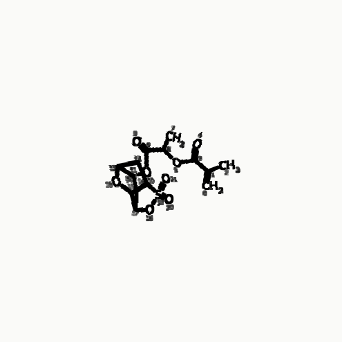 C=C(C)C(=O)OC(C)C(=O)O[C@H]1C2CC3C(O2)C1OS3(=O)=O